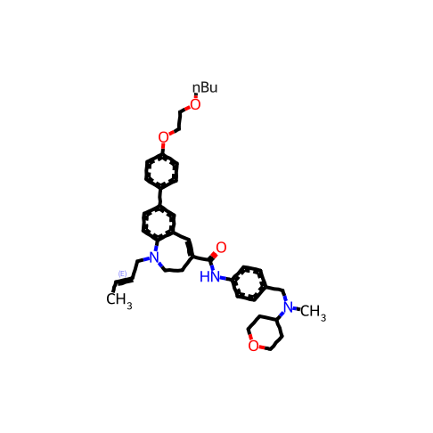 C/C=C/CN1CCC(C(=O)Nc2ccc(CN(C)C3CCOCC3)cc2)=Cc2cc(-c3ccc(OCCOCCCC)cc3)ccc21